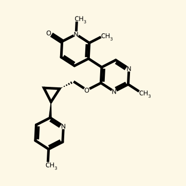 Cc1ccc([C@H]2C[C@@H]2COc2nc(C)ncc2-c2ccc(=O)n(C)c2C)nc1